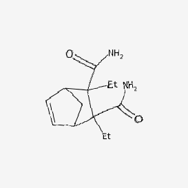 CCC1(C(N)=O)C2C=CC(C2)C1(CC)C(N)=O